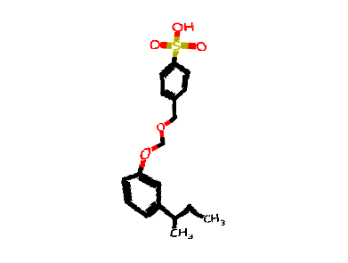 CCC(C)c1cccc(OCOCc2ccc(S(=O)(=O)O)cc2)c1